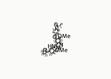 C=CC(=O)N1CC2CC1CC2Oc1cc2c(Nc3cc(-c4ccco4)ccc3OC)ncnc2cc1OC